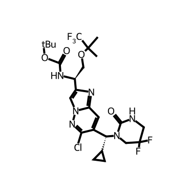 CC(C)(C)OC(=O)N[C@@H](COC(C)(C)C(F)(F)F)c1cn2nc(Cl)c([C@@H](C3CC3)N3CC(F)(F)CNC3=O)cc2n1